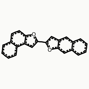 c1ccc2cc3oc(-c4cc5c(ccc6ccccc65)o4)cc3cc2c1